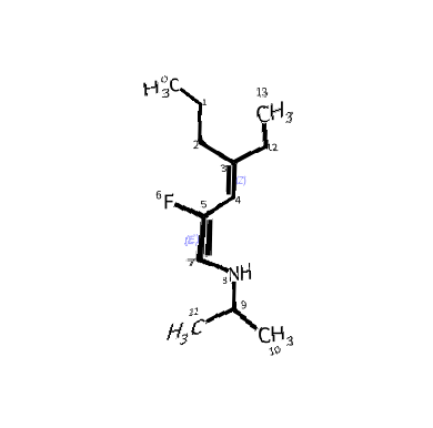 CCC/C(=C\C(F)=C/NC(C)C)CC